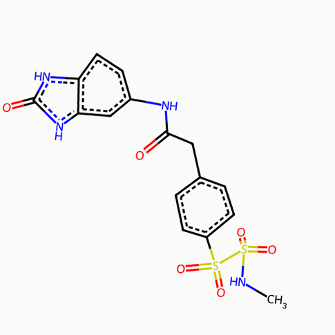 CNS(=O)(=O)S(=O)(=O)c1ccc(CC(=O)Nc2ccc3[nH]c(=O)[nH]c3c2)cc1